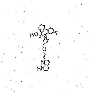 O=C(O)C(c1cc(F)ccc1C1CCCCO1)N1CCC(COCCCc2ccc3c(n2)NCCC3)C1